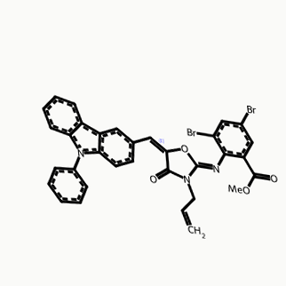 C=CCN1C(=O)/C(=C\c2ccc3c(c2)c2ccccc2n3-c2ccccc2)OC1=Nc1c(Br)cc(Br)cc1C(=O)OC